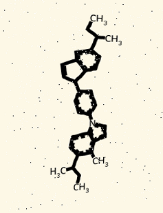 CCC(C)c1ccc2c(c1)C=CC2c1ccc(-n2ccc3c(C)c(C(C)CC)ccc32)cc1